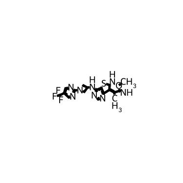 COC(=N)/C(C)=C1\C(=N)Sc2c(NC3CN(c4ncc(C(F)(F)F)cn4)C3)ncnc21